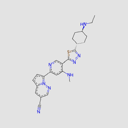 CCN[C@H]1CC[C@H](c2nnc(-c3cnc(-c4ccc5cc(C#N)cnn45)cc3NC)s2)CC1